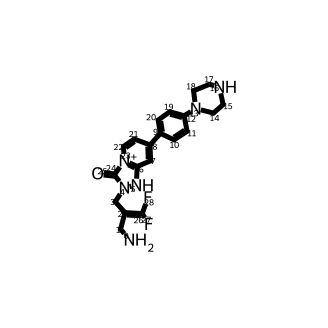 NCC(Cn1[nH]c2cc(-c3ccc(N4CCNCC4)cc3)cc[n+]2c1=O)=C(F)F